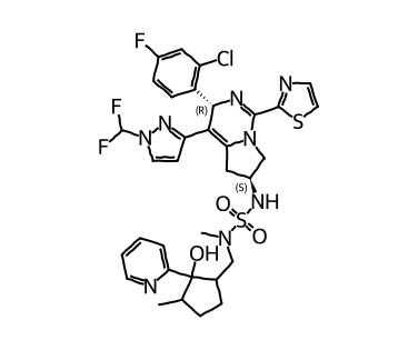 CC1CCC(CN(C)S(=O)(=O)N[C@H]2CC3=C(c4ccn(C(F)F)n4)[C@H](c4ccc(F)cc4Cl)N=C(c4nccs4)N3C2)C1(O)c1ccccn1